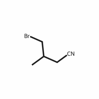 CC(CBr)CC#N